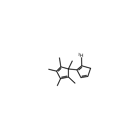 [2H]C1=C(C2(C)C(C)=C(C)C(C)=C2C)C=CC1